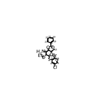 CCOC1C(Sc2cc(Cl)cnc2Br)OC2COC(c3ccccc3)OC2C1N